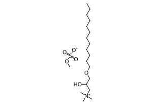 CCCCCCCCCCCCOCC(O)C[N+](C)(C)C.COS(=O)(=O)[O-]